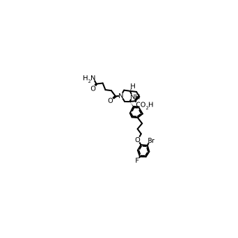 NC(=O)CCCC(=O)N1C[C@H]2CC=C(C(=O)O)[C@@](c3ccc(CCCOc4cc(F)ccc4Br)cc3)(C1)N2